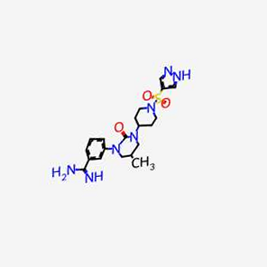 CC1CN(c2cccc(C(=N)N)c2)C(=O)N(C2CCN(S(=O)(=O)c3cn[nH]c3)CC2)C1